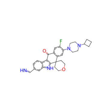 N=Cc1ccc2c3c([nH]c2c1)C1(CCOCC1)c1cc(N2CCN(C4CCC4)CC2)c(F)cc1C3=O